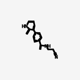 C=C1NC=CC=C1c1ccc(C(=C)NCCC#N)cc1